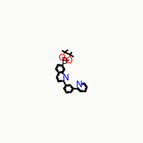 CC1(C)OB(c2ccc3ccc(-c4cccc(-c5ccccn5)c4)nc3c2)OC1(C)C